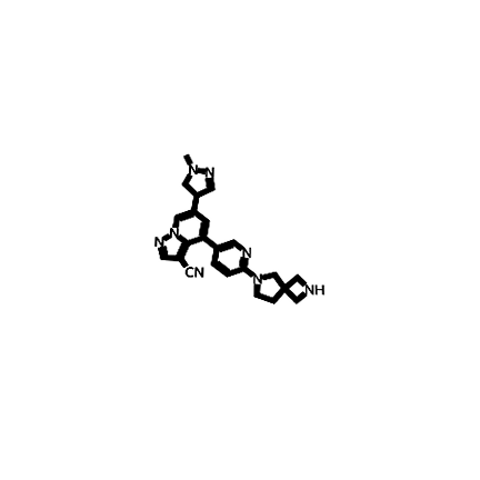 CN1CC(c2cc(-c3ccc(N4CCC5(CNC5)C4)nc3)c3c(C#N)cnn3c2)C=N1